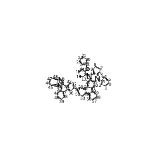 c1ccc(N2c3ccccc3N(c3cccc4c3sc3ccccc34)c3cc4c5cc(-c6ccc7c(c6)c6ccccc6n6c8ccccc8nc76)ccc5c5ccccc5c4cc32)cc1